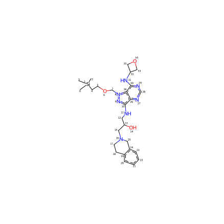 C[Si](C)(C)CCOCn1nc(NCC(O)CN2CCc3ccccc3C2)c2ncnc(NC3COC3)c21